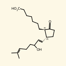 CC(C)=CCCC(O)C=C[C@H]1CCC(=O)[C@@H]1CCCCCCC(=O)O